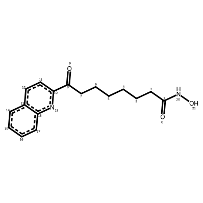 O=C(CCCCCCC(=O)c1ccc2ccccc2n1)NO